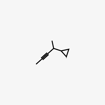 CC#CC(C)C1[CH]C1